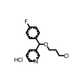 Cl.Fc1ccc(C(OCCCCl)c2cccnc2)cc1